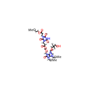 COCCOC(=O)CCn1c(=O)[nH]c(=O)n(CCC(=O)OCOCN2C(=O)N(COC)C3C2N(COCC(C)(C)CO)CN3COC)c1=O